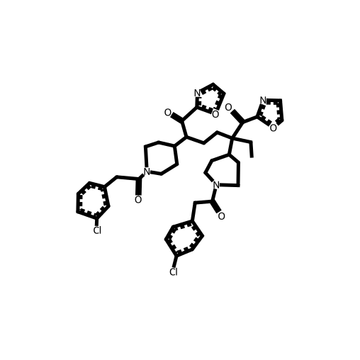 CCC(CCC(C(=O)c1ncco1)C1CCN(C(=O)Cc2cccc(Cl)c2)CC1)(C(=O)c1ncco1)C1CCN(C(=O)Cc2ccc(Cl)cc2)CC1